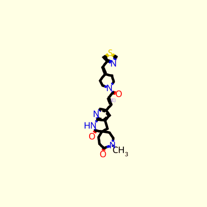 CN1CCC2(CCC1=O)Cc1cc(/C=C/C(=O)N3CCC(=Cc4cscn4)CC3)cnc1NC2=O